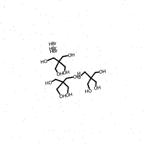 Br.Br.Br.OCC(CO)(CO)CO.OCC(CO)(CO)CO.OCC(CO)(CO)CO